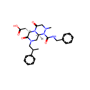 CC(CN1C[C@H]2N(C(=O)CN(C)N2C(=O)NCc2ccccc2)[C@@H](CC(=O)O)C1=O)c1ccccc1